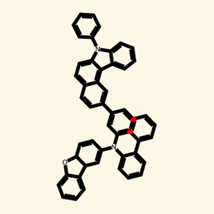 C1=CC2Oc3ccccc3C2C=C1N(c1cccc(-c2ccc3ccc4c(c3c2)c2ccccc2n4-c2ccccc2)c1)c1ccccc1-c1ccccc1